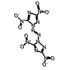 O=[N+]([O-])c1nc([N+](=O)[O-])n(N=Nn2nc([N+](=O)[O-])nc2[N+](=O)[O-])n1